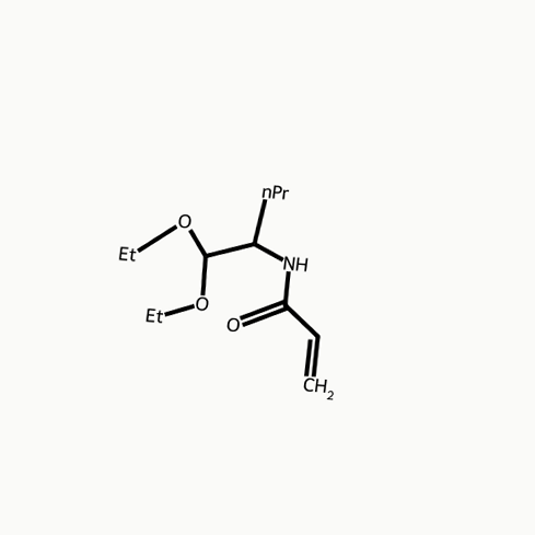 C=CC(=O)NC(CCC)C(OCC)OCC